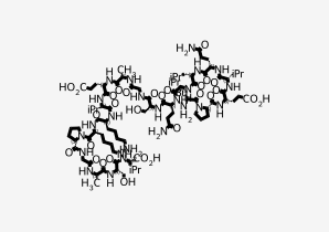 CC[C@H](C)[C@H](N)C(=O)N1CCC[C@H]1C(=O)N[C@@H](CCC(=O)O)C(=O)N[C@H](C(=O)N[C@@H](CCC(N)=O)C(=O)N[C@@H](CC(C)C)C(=O)N[C@H](C(=O)N[C@@H](CCC(N)=O)C(=O)N[C@@H](CO)C(=O)NCC(=O)N[C@@H](C)C(=O)N[C@@H](CCC(=O)O)C(=O)N[C@H](C(=O)N[C@@H](CCCCN)C(=O)N[C@@H](CCCCN)C(=O)N1CCC[C@H]1C(=O)NCC(=O)N[C@@H](C)C(=O)N[C@@H](CO)C(=O)N[C@H](C(=O)O)C(C)C)C(C)C)C(C)C)C(C)C